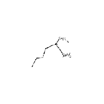 CCCC[C]([SnH3])[SnH3]